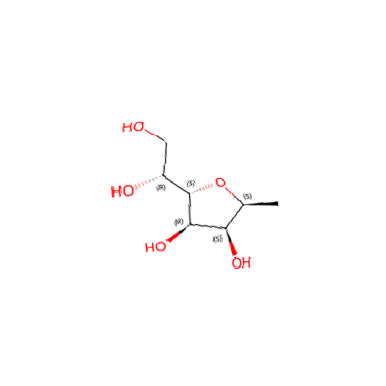 C[C@@H]1O[C@@H]([C@H](O)CO)[C@H](O)[C@@H]1O